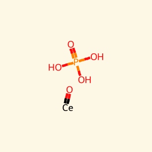 O=P(O)(O)O.[O]=[Ce]